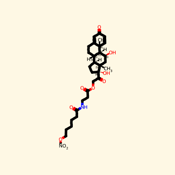 C[C@]12C=CC(=O)C=C1CC[C@@H]1[C@@H]2[C@@H](O)C[C@@]2(C)[C@H]1CC[C@]2(O)C(=O)COC(=O)CCNC(=O)CCCCCO[N+](=O)[O-]